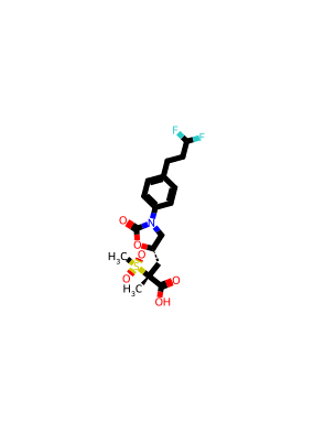 C[C@@](C[C@H]1CN(c2ccc(CCC(F)F)cc2)C(=O)O1)(C(=O)O)S(C)(=O)=O